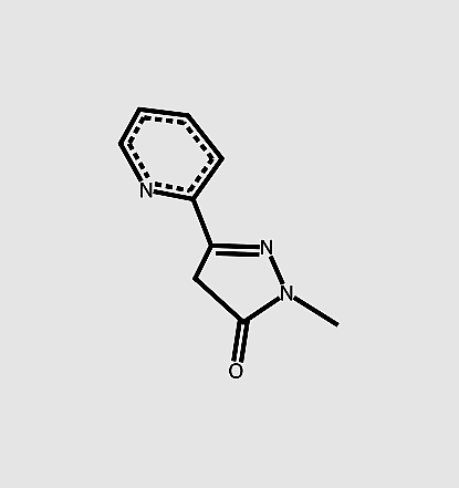 CN1N=C(c2ccccn2)CC1=O